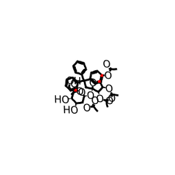 CC(=O)OC[C@H]1O[C@](O[C@H]2O[C@H](CO)[C@@H](O)[C@H](O)[C@H]2OC(C)=O)(C(OC(C)=O)C(c2ccccc2)(c2ccccc2)c2ccccc2)[C@@H](OC(C)=O)[C@@H]1OC(C)=O